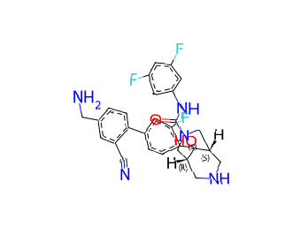 N#Cc1cc(CN)ccc1-c1ccc([C@@]2(O)[C@@H]3CNC[C@H]2CN(C(=O)Nc2cc(F)cc(F)c2)C3)c(F)c1